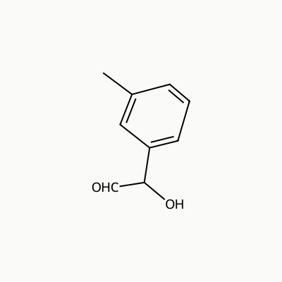 Cc1cccc(C(O)C=O)c1